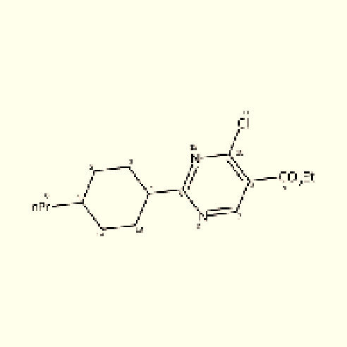 CCCC1CCC(c2ncc(C(=O)OCC)c(Cl)n2)CC1